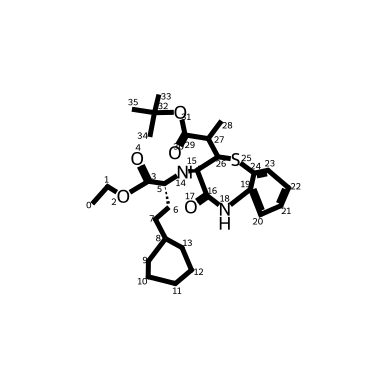 CCOC(=O)[C@@H](CCC1CCCCC1)N[C@@H]1C(=O)Nc2ccccc2SC1C(C)C(=O)OC(C)(C)C